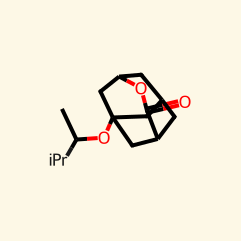 CC(C)C(C)OC12CC3CC(C1)OC(=O)C(C3)C2